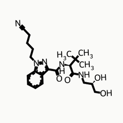 CC(C)(C)[C@H](NC(=O)c1nn(CCCCC#N)c2ccccc12)C(=O)NC[C@H](O)CO